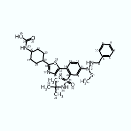 CSN(NCc1ccccc1)c1ccc(-c2cnc(C3CCC(NC(=O)O)CC3)s2)c(S(=O)(=O)NC(C)(C)C)c1